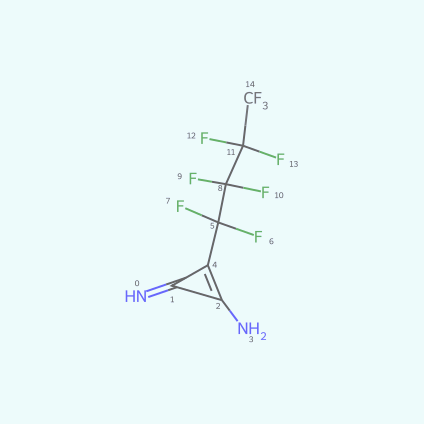 N=c1c(N)c1C(F)(F)C(F)(F)C(F)(F)C(F)(F)F